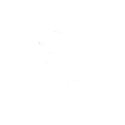 O=C(O)c1c(O)cccc1Cc1cccs1